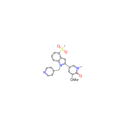 COc1cc(-c2cc3c(S(C)(=O)=O)cccc3n2Cc2ccncc2)cn(C)c1=O